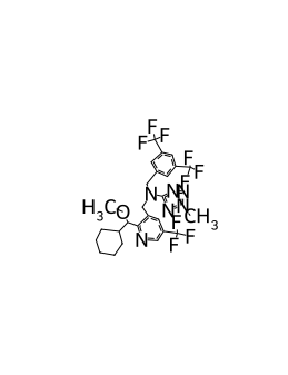 COC(c1ncc(C(F)(F)F)cc1CN(Cc1cc(C(F)(F)F)cc(C(F)(F)F)c1)c1nnn(C)n1)C1CCCCC1